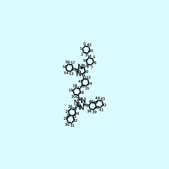 c1ccc(-c2cccc(-c3cc(-c4cccc(-c5cccc(-c6nc(-c7ccc8ccccc8c7)nc(-c7ccc8ccccc8c7)n6)c5)c4)nc(-c4ccccc4)n3)c2)cc1